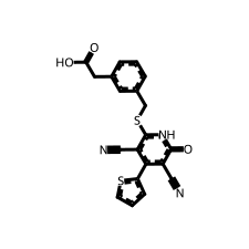 N#Cc1c(SCc2cccc(CC(=O)O)c2)[nH]c(=O)c(C#N)c1-c1cccs1